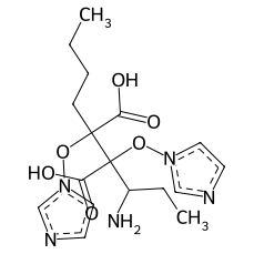 CCCCC(On1ccnc1)(C(=O)O)C(On1ccnc1)(C(=O)O)C(N)CC